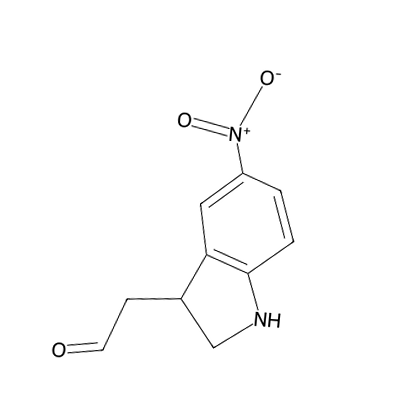 O=CCC1CNc2ccc([N+](=O)[O-])cc21